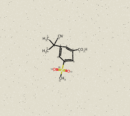 CC(C)(C#N)c1cc(C(=O)O)cc(S(C)(=O)=O)c1